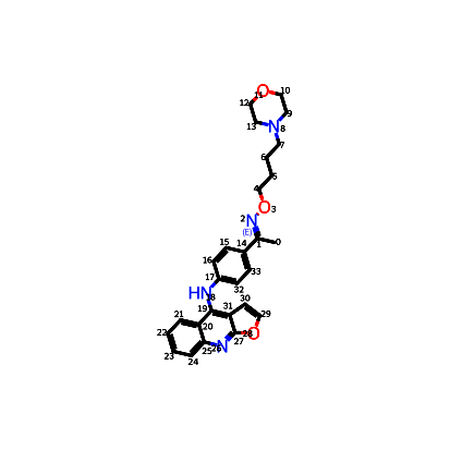 C/C(=N\OCCCCN1CCOCC1)c1ccc(Nc2c3ccccc3nc3occc23)cc1